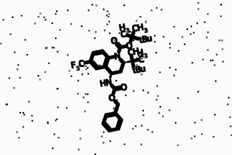 CC(C)(C)C(C)(C)OC(=O)N1c2ccc(C(F)(F)F)cc2[C@@H](NC(=O)OCc2ccccc2)C[C@H]1C(C)(C)C(C)(C)C